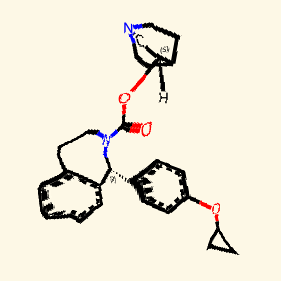 O=C(O[C@@H]1CN2CCC1CC2)N1CCc2ccccc2[C@H]1c1ccc(OC2CC2)cc1